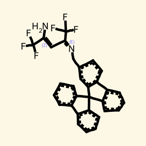 N/C(=C\C(=N/Cc1ccc2c(c1)C1(c3ccccc3-c3ccccc31)c1ccccc1-2)C(F)(F)F)C(F)(F)F